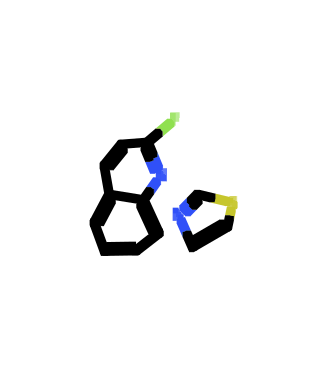 Fc1ccc2ccccc2n1.c1cscn1